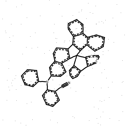 N#Cc1ccccc1N(c1ccccc1)c1ccc2c3c(ccc2c1)-c1c(c2ccccc2c2ccccc12)C31c2ccccc2-c2ccccc21